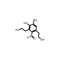 Nc1cc(CCO)c([N+](=O)[O-])c(CCO)c1O